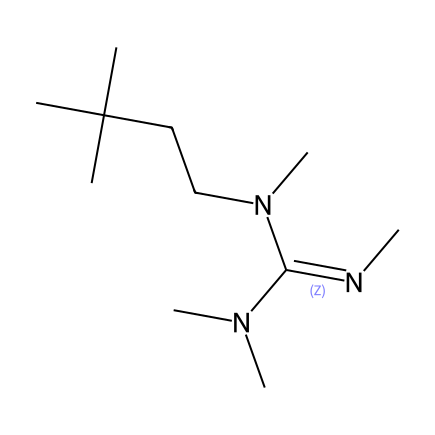 C/N=C(/N(C)C)N(C)CCC(C)(C)C